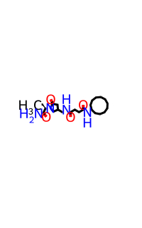 CC[C@H](C(N)=O)N1CC(CNC(=O)CCC(=O)NC2CCCCCCCCCC2)CC1=O